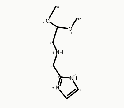 COC(CNCc1ncc[nH]1)OC